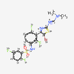 CN(C)/C=N/c1nc(-c2c(F)ccc(NS(=O)(=O)c3cc(F)ccc3F)c2F)c(Br)s1